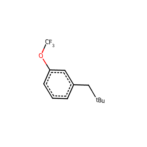 CC(C)(C)Cc1cccc(OC(F)(F)F)c1